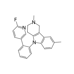 Cc1ccc2c(c1)c1c(n2-c2ccccc2-c2ccc(F)nc2)CCN(C)C1